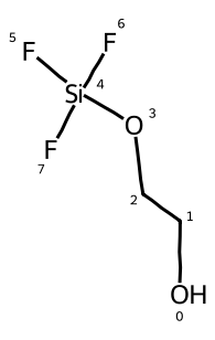 OCCO[Si](F)(F)F